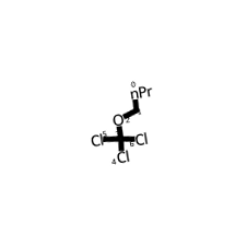 CCCCOC(Cl)(Cl)Cl